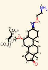 C[C@]12CCC(=NOCCN)CC1[C@H](O[N+](=O)[O-])CC1C2CC[C@]2(C)C(=O)CCC12.O=C(O)/C=C/C(=O)O